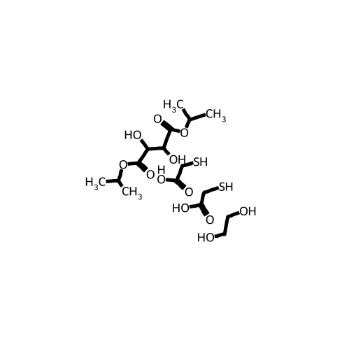 CC(C)OC(=O)C(O)C(O)C(=O)OC(C)C.O=C(O)CS.O=C(O)CS.OCCO